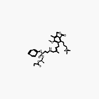 CCC(=O)O[C@H](C)OP(=O)(CCNC/C(C)=C/Cc1c(CCC[Si](C)(C)C)c2c(c(C)c1OC)COC2=O)Oc1ccccc1